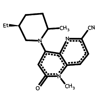 CC[C@H]1CCC(C)N(c2cc(=O)n(C)c3ccc(C#N)nc23)C1